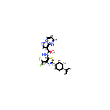 CC(C)[C@H]1CC[C@H](c2nc(C(F)F)c(NC(=O)c3cnn4cccnc34)s2)CC1